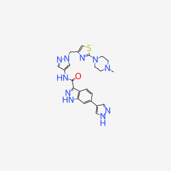 CN1CCN(c2nc(Cn3cc(NC(=O)c4n[nH]c5cc(-c6cn[nH]c6)ccc45)cn3)cs2)CC1